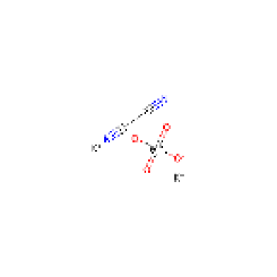 N#CC#N.[K+].[K+].[O]=[Mn](=[O])([O-])[O-]